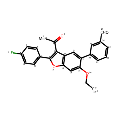 CNC(=O)c1c(-c2ccc(F)cc2)oc2cc(OCC(F)(F)F)c(-c3cccc(C=O)c3)cc12